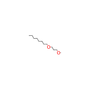 CCCCCCCCOCCC[O]